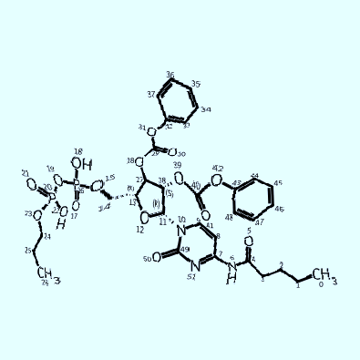 CCCCC(=O)Nc1ccn([C@@H]2O[C@H](COP(=O)(O)OP(=O)(O)OCCC)C(OC(=O)Oc3ccccc3)[C@@H]2OC(=O)Oc2ccccc2)c(=O)n1